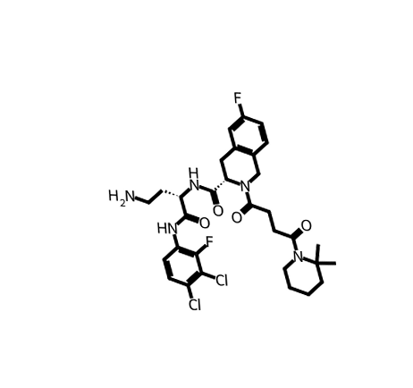 CC1(C)CCCCN1C(=O)CCC(=O)N1Cc2ccc(F)cc2C[C@H]1C(=O)N[C@@H](CCN)C(=O)Nc1ccc(Cl)c(Cl)c1F